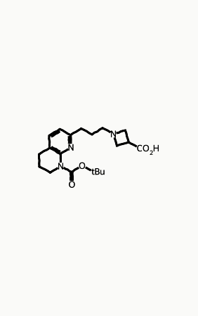 CC(C)(C)OC(=O)N1CCCc2ccc(CCCN3CC(C(=O)O)C3)nc21